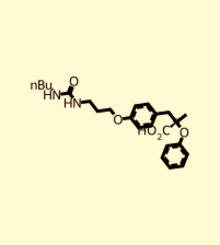 CCCCNC(=O)NCCCOc1ccc(C[C@](C)(Oc2ccccc2)C(=O)O)cc1